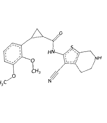 COc1cccc(C2CC2C(=O)Nc2sc3c(c2C#N)CCNC3)c1OC